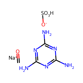 C=O.Nc1nc(N)nc(N)n1.O=S(=O)([O-])O.[Na+]